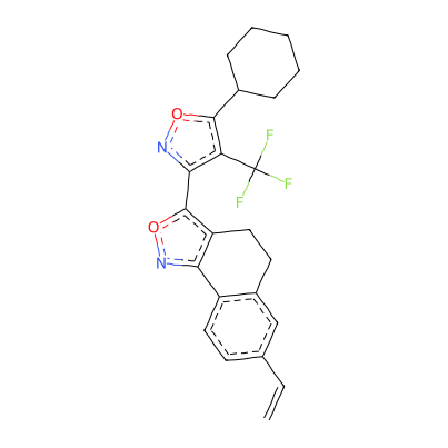 C=Cc1ccc2c(c1)CCc1c-2noc1-c1noc(C2CCCCC2)c1C(F)(F)F